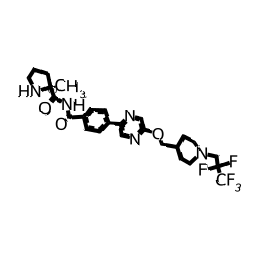 C[C@@]1(C(=O)NC(=O)c2ccc(-c3cnc(OCC4CCN(CC(F)(F)C(F)(F)F)CC4)cn3)cc2)CCCN1